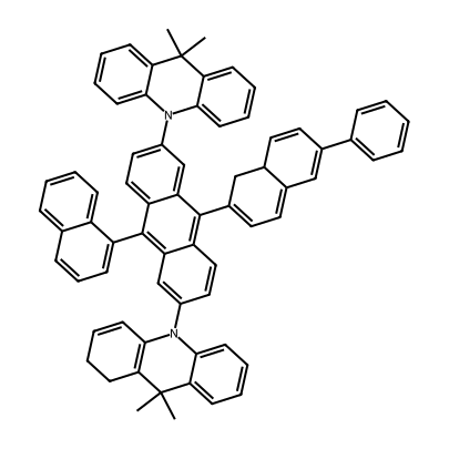 CC1(C)C2=C(C=CCC2)N(c2ccc3c(C4=CC=C5C=C(c6ccccc6)C=CC5C4)c4cc(N5c6ccccc6C(C)(C)c6ccccc65)ccc4c(-c4cccc5ccccc45)c3c2)c2ccccc21